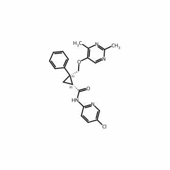 Cc1ncc(OC[C@@]2(c3ccccc3)C[C@H]2C(=O)Nc2ccc(Cl)cn2)c(C)n1